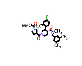 COC(=O)N1CCC(C(=O)N2CC[C@@H](C(=O)N(C)Cc3cc(C(F)(F)F)cc(C(F)(F)F)c3)[C@H](c3ccc(F)cc3C)C2)C1